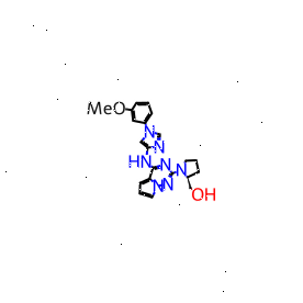 COc1cccc(-n2cnc(Nc3nc(N4CCC[C@H]4CO)nn4cccc34)c2)c1